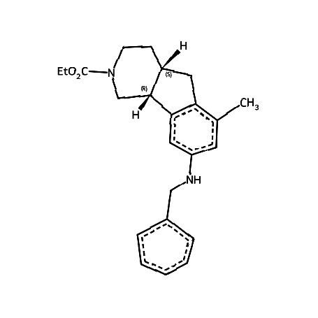 CCOC(=O)N1CC[C@@H]2Cc3c(C)cc(NCc4ccccc4)cc3[C@@H]2C1